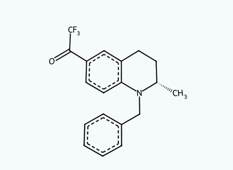 C[C@H]1CCc2cc(C(=O)C(F)(F)F)ccc2N1Cc1ccccc1